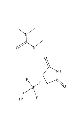 CN(C)C(=O)N(C)C.F[B-](F)(F)F.O=C1CCC(=O)N1.[H+]